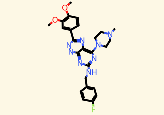 COc1ccc(-c2nnc3nc(NCc4ccc(F)cc4)nc(N4CCN(C)CC4)c3n2)cc1OC